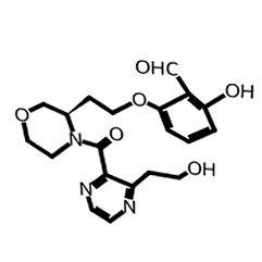 O=Cc1c(O)cccc1OCC[C@@H]1COCCN1C(=O)c1nccnc1CCO